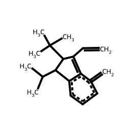 C=CC1=c2c(cccc2=C)C(C(C)C)C1C(C)(C)C